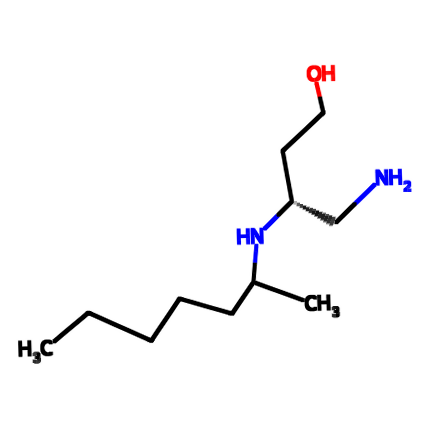 CCCCCC(C)N[C@@H](CN)CCO